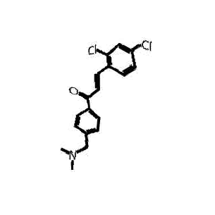 CN(C)Cc1ccc(C(=O)C=Cc2ccc(Cl)cc2Cl)cc1